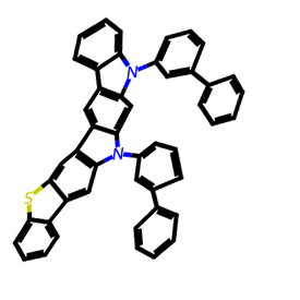 c1ccc(-c2cccc(-n3c4ccccc4c4cc5c6cc7sc8ccccc8c7cc6n(-c6cccc(-c7ccccc7)c6)c5cc43)c2)cc1